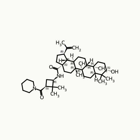 C=C(C)[C@@H]1CC[C@]2(C(=O)N[C@@H]3C[C@H](C(=O)N4CCCCC4)C3(C)C)CC[C@]3(C)[C@H](CC[C@@H]4[C@@]5(C)CC[C@H](O)C(C)(C)[C@@H]5CC[C@]43C)[C@@H]12